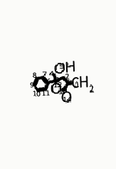 C=C1CC(CO)(c2ccccc2)OC1=O